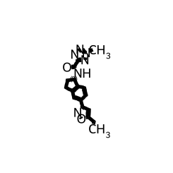 CCc1cc(-c2ccc3c(c2)CC[C@H]3NC(=O)c2nnn(C)n2)no1